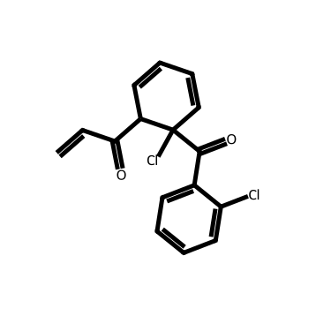 C=CC(=O)C1C=CC=CC1(Cl)C(=O)c1ccccc1Cl